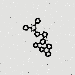 c1ccc(-c2nc(-c3ccccc3)nc(-c3cccc(-c4cccc5oc6ccc(-c7ccccc7-c7ccc8c9ccccc9c9ccccc9c8c7)cc6c45)c3)n2)cc1